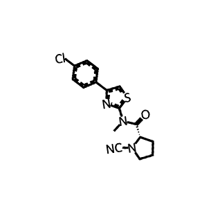 CN(C(=O)[C@@H]1CCCN1C#N)c1nc(-c2ccc(Cl)cc2)cs1